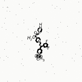 CN(C(=O)CN1CCNCC1)C1CCN(CC[C@@H](c2cc(F)cc(F)c2)C2CCN(S(C)(=O)=O)CC2)CC1